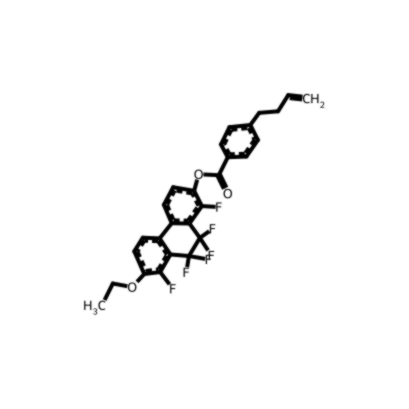 C=CCCc1ccc(C(=O)Oc2ccc3c(c2F)C(F)(F)C(F)(F)c2c-3ccc(OCC)c2F)cc1